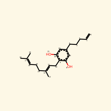 C=CCCCc1cc(O)c(C/C=C(\C)CCC=C(C)C)c(O)c1